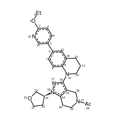 CCOc1ccc(-c2ccc3c(c2)CCCN3c2nn([C@H]3CCOC3)c3c2CN(C(C)=O)CC3)cn1